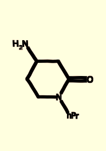 CCCN1CCC(N)CC1=O